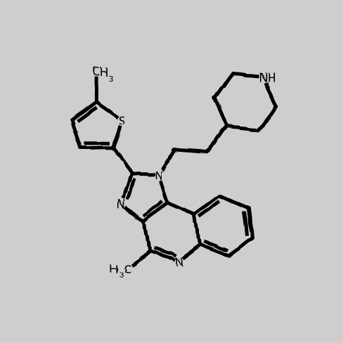 Cc1ccc(-c2nc3c(C)nc4ccccc4c3n2CCC2CCNCC2)s1